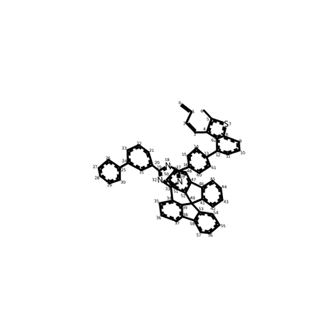 C=C/C=C\c1c(C)sc2cccc(-c3ccc(-c4nc(-c5cccc(-c6ccccc6)c5)nc(-c5cccc6c5C5(c7ccccc7-c7ccccc75)c5ccccc5-6)n4)cc3)c12